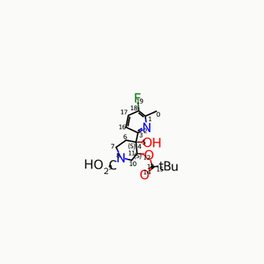 Cc1nc([C@@]2(O)CCN(C(=O)O)C[C@@H]2OC(=O)C(C)(C)C)ccc1F